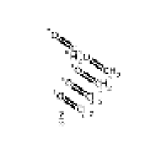 C=O.C=O.C=O.C=O.C=O.[Zr]